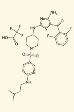 CN(C)CCNc1ccc(S(=O)(=O)N2CCC(Nc3nc(N)c(C(=O)c4c(F)cccc4F)s3)CC2)cn1.O=C(O)C(F)(F)F